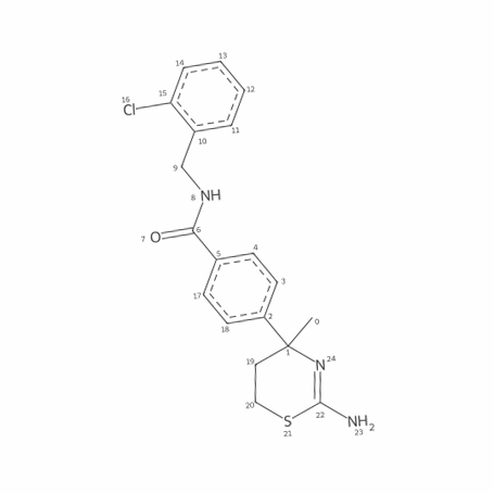 CC1(c2ccc(C(=O)NCc3ccccc3Cl)cc2)CCSC(N)=N1